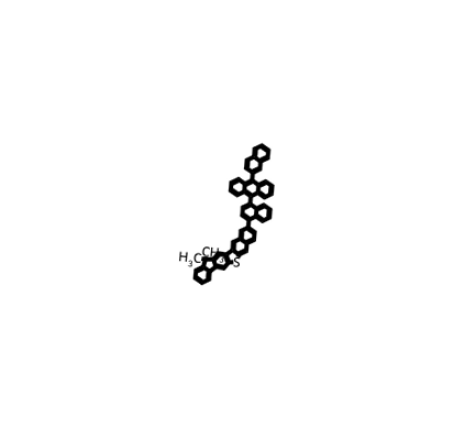 CC1(C)c2ccccc2-c2cc3sc4cc5ccc(-c6ccc(-c7c8ccccc8c(-c8ccc9ccccc9c8)c8ccccc78)c7ccccc67)cc5cc4c3cc21